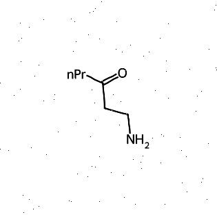 CCCC(=O)CCN